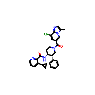 Cc1cnc2c(Cl)cc(C(=O)N3CC[C@@H](NC(=O)c4ncccc4C4CC4)[C@@H](c4ccccc4)C3)cn12